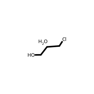 O.OCCCCl